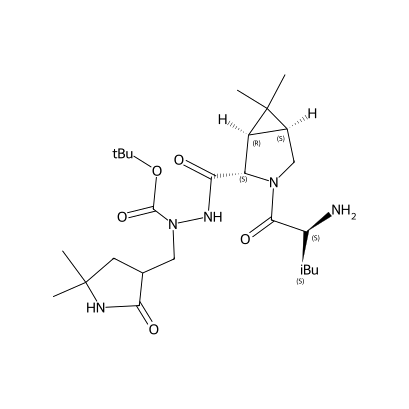 CC[C@H](C)[C@H](N)C(=O)N1C[C@H]2[C@@H]([C@H]1C(=O)NN(CC1CC(C)(C)NC1=O)C(=O)OC(C)(C)C)C2(C)C